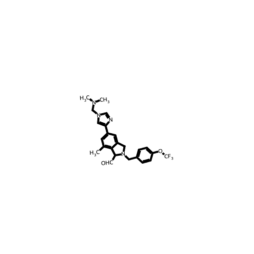 Cc1cc(-c2cn(CN(C)C)cn2)cc2c1C(C=O)N(Cc1ccc(OC(F)(F)F)cc1)C2